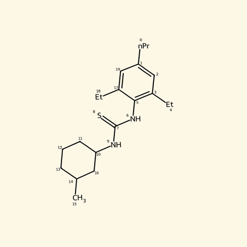 CCCc1cc(CC)c(NC(=S)NC2CCCC(C)C2)c(CC)c1